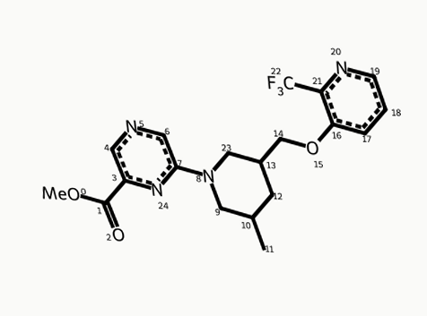 COC(=O)c1cncc(N2CC(C)CC(COc3cccnc3C(F)(F)F)C2)n1